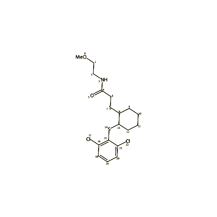 COCCNC(=O)CSC1CCCCC1Sc1c(Cl)cccc1Cl